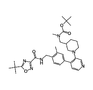 Cc1cc(-c2ccncc2N2CCCC(CN(C)C(=O)OC(C)(C)C)C2)ccc1CNC(=O)c1noc(C(C)(C)C)n1